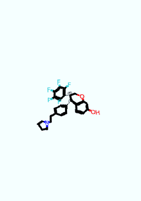 Oc1ccc2c(c1)OC[C@@H](c1c(F)c(F)c(F)c(F)c1F)[C@H]2c1ccc(CCN2CCCC2)cc1